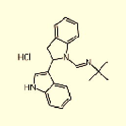 CC(C)(C)N=CN1c2ccccc2CC1c1c[nH]c2ccccc12.Cl